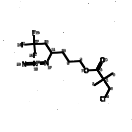 CC(C)(CCl)C(=O)OCCCC(CC(F)(F)F)N=[N+]=[N-]